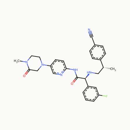 C[C@H](CN[C@H](C(=O)Nc1ccc(N2CCN(C)C(=O)C2)cn1)c1cccc(F)c1)c1ccc(C#N)cc1